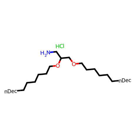 CCCCCCCCCCCCCCCCOCC(CN)OCCCCCCCCCCCCCCCC.Cl